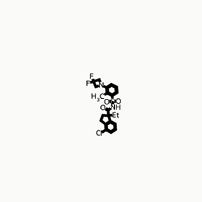 CCC1(C(=O)NS(=O)(=O)c2cccc(N3CC(F)(F)C3)c2C)CCc2c(Cl)cccc21